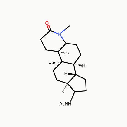 CC(=O)NC1CC[C@H]2[C@@H]3CCC4N(C)C(=O)CC[C@]4(C)[C@@H]3CC[C@]12C